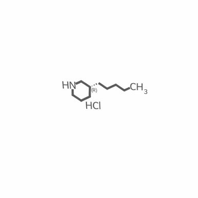 CCCCC[C@@H]1CCCNC1.Cl